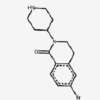 O=C1c2ccc(Br)cc2CCN1C1CCNCC1